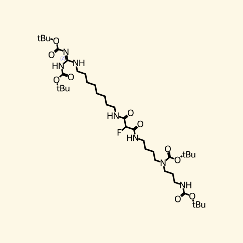 CC(C)(C)OC(=O)/N=C(/NCCCCCCCCNC(=O)C(F)C(=O)NCCCCN(CCCNC(=O)OC(C)(C)C)C(=O)OC(C)(C)C)NC(=O)OC(C)(C)C